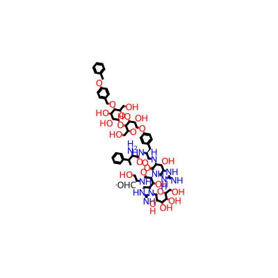 CC(c1ccccc1)[C@H](N)C(=O)N[C@@H](Cc1ccc(OC2OC(CO)C(OC3OC(CO)C(OCc4ccc(OCc5ccccc5)cc4)C(O)C3O)C(O)C2O)cc1)C(=O)N[C@H](C(=O)N[C@H](C(=O)N[C@H]([C]=O)CO)C(O)C1CNC(=N)N1C1OC(CO)C(O)C(O)C1O)C(O)C1CNC(=N)N1